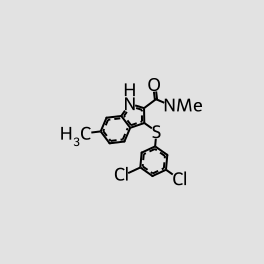 CNC(=O)c1[nH]c2cc(C)ccc2c1Sc1cc(Cl)cc(Cl)c1